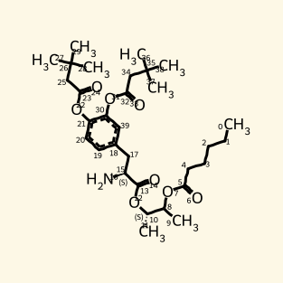 CCCCCC(=O)OC(C)[C@H](C)OC(=O)[C@@H](N)Cc1ccc(OC(=O)CC(C)(C)C)c(OC(=O)CC(C)(C)C)c1